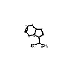 CC(C)=C1CCC2CC=CCC12